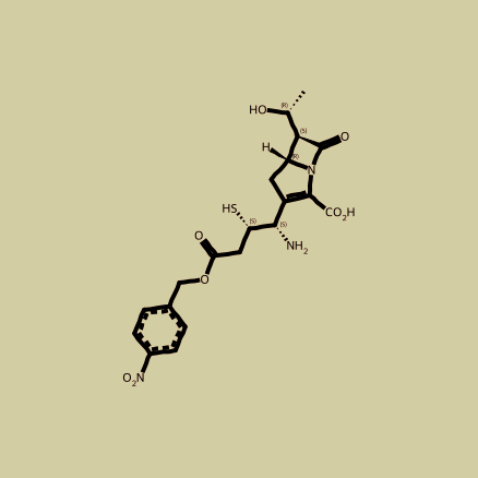 C[C@@H](O)[C@H]1C(=O)N2C(C(=O)O)=C([C@H](N)[C@@H](S)CC(=O)OCc3ccc([N+](=O)[O-])cc3)C[C@H]12